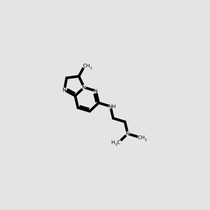 CC1CN=C2C=CC(NCCN(C)C)=NN21